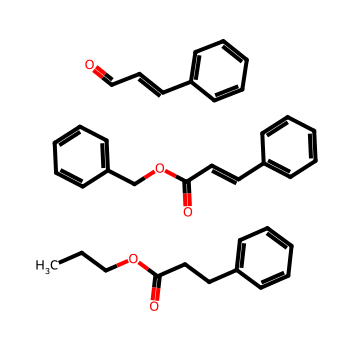 CCCOC(=O)CCc1ccccc1.O=C(/C=C/c1ccccc1)OCc1ccccc1.O=C/C=C/c1ccccc1